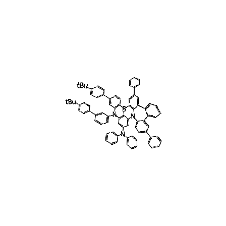 CC(C)(C)c1ccc(-c2cccc(N3c4cc(-c5ccc(C(C)(C)C)cc5)ccc4B4c5cc(-c6ccccc6)cc6c5N(c5ccc(-c7ccccc7)cc5-c5ccccc5-6)c5cc(N(c6ccccc6)c6ccccc6)cc3c54)c2)cc1